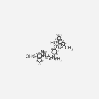 Cc1ccc([C@](O)(C(=O)O[C@H]2CC[C@H](N(C)CCCn3nnc4cc(C=O)c5c(c43)CCC5)CC2)c2cccs2)s1